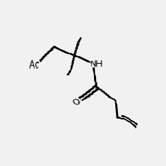 C=CCC(=O)NC(C)(C)CC(C)=O